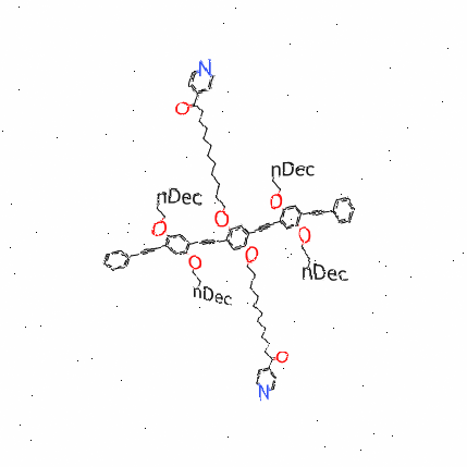 CCCCCCCCCCCCOc1cc(C#Cc2cc(OCCCCCCCCCCCC(=O)c3ccncc3)c(C#Cc3cc(OCCCCCCCCCCCC)c(C#Cc4ccccc4)cc3OCCCCCCCCCCCC)cc2OCCCCCCCCCCCC(=O)c2ccncc2)c(OCCCCCCCCCCCC)cc1C#Cc1ccccc1